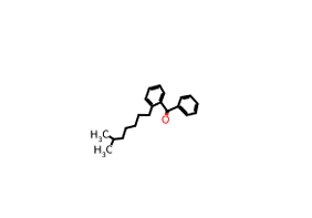 CC(C)CCCCCc1ccccc1C(=O)c1ccccc1